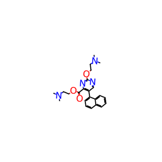 CN(C)CCOC(=O)c1nc(OCCN(C)C)ncc1-c1cccc2ccccc12